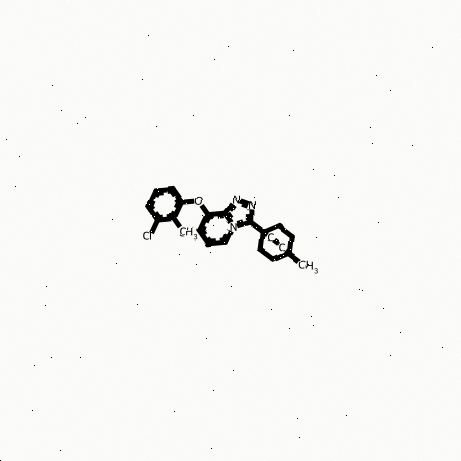 Cc1c(Cl)cccc1Oc1cccn2c(C34CCC(C)(CC3)CC4)nnc12